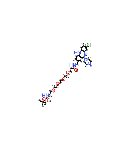 CN1CCN(C2=Nc3cc(Cl)ccc3Nc3ccc(CNC(=O)CCOCCOCCOCCOCCNC(=O)OC(C)(C)C)cc32)CC1